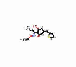 CCCC(=NOCC)C1=C(O)CC(CC2CCCS2)CC1=O